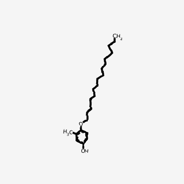 CCCCCCCCCCCCCCCCOc1ccc(O)cc1C